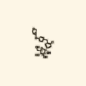 OC[C@H]1O[C@H](c2ccc(Cl)c(Cc3ccc(OC4C5COCC54)cc3)c2)[C@H](O)[C@@H](O)[C@@H]1O